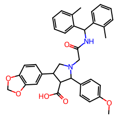 COc1ccc(C2C(C(=O)O)C(c3ccc4c(c3)OCO4)CN2CC(=O)NC(c2ccccc2C)c2ccccc2C)cc1